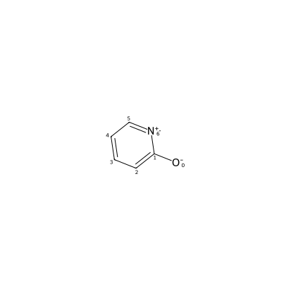 [O-]C1=CC=CC=[N+]1